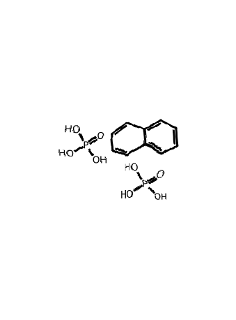 O=P(O)(O)O.O=P(O)(O)O.c1ccc2ccccc2c1